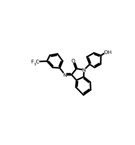 O=C1/C(=N\c2cccc(C(F)(F)F)c2)c2ccccc2N1c1ccc(O)cc1